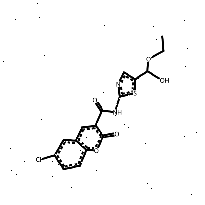 CCOC(O)c1cnc(NC(=O)c2cc3cc(Cl)ccc3oc2=O)s1